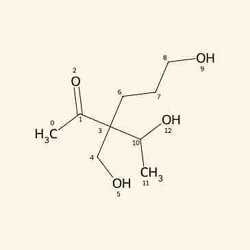 CC(=O)C(CO)(CCCO)C(C)O